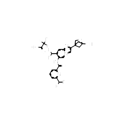 CC12CC(c3cn4cc(NC(=O)c5cccc(C(F)F)n5)c(C(F)F)cc4n3)(CO1)C2.O=C(O)C(F)(F)F